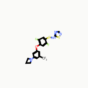 Fc1cc(SNc2ncns2)c(F)cc1Oc1cc(N2CCC2)cc(C(F)(F)F)c1